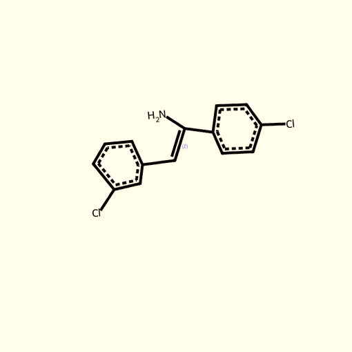 N/C(=C\c1cccc(Cl)c1)c1ccc(Cl)cc1